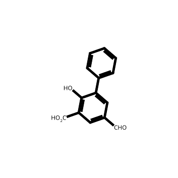 O=Cc1cc(C(=O)O)c(O)c(-c2ccccc2)c1